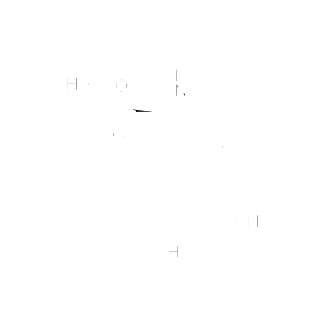 CCCCC(CC)O[C@H]1CN[C@H](C(=O)OC)C1